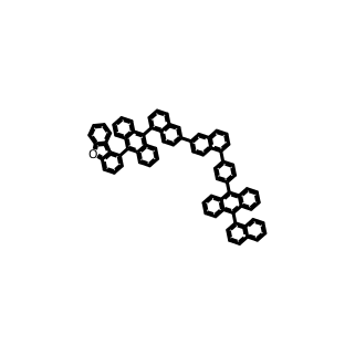 c1cc(-c2ccc(-c3c4ccccc4c(-c4cccc5ccccc45)c4ccccc34)cc2)c2ccc(-c3ccc4c(-c5c6ccccc6c(-c6cccc7oc8ccccc8c67)c6ccccc56)cccc4c3)cc2c1